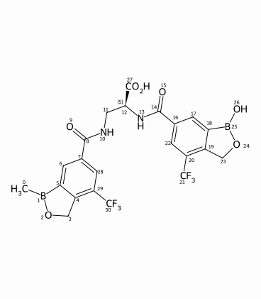 CB1OCc2c1cc(C(=O)NC[C@H](NC(=O)c1cc3c(c(C(F)(F)F)c1)COB3O)C(=O)O)cc2C(F)(F)F